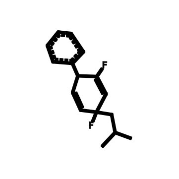 CC(C)CC1(F)C=CC(c2ccccc2)C(F)=C1